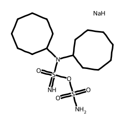 N=S(=O)(OS(N)(=O)=O)N(C1CCCCCCC1)C1CCCCCCC1.[NaH]